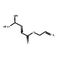 C=CCOC(=O)C=CC(CCC)CCCCCC